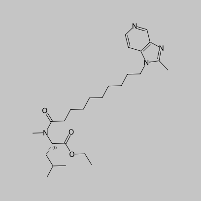 CCOC(=O)[C@H](CC(C)C)N(C)C(=O)CCCCCCCCCn1c(C)nc2cnccc21